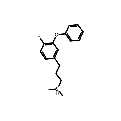 C[SiH](C)CCCc1ccc(F)c(Oc2ccccc2)c1